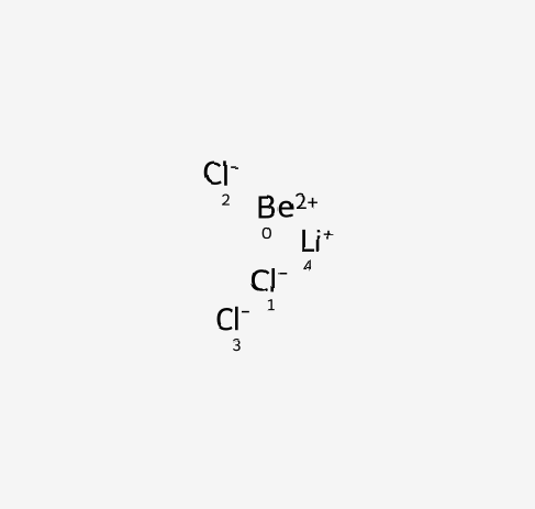 [Be+2].[Cl-].[Cl-].[Cl-].[Li+]